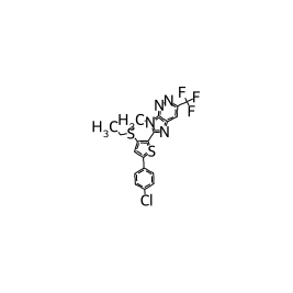 CCSc1cc(-c2ccc(Cl)cc2)sc1-c1nc2cc(C(F)(F)F)nnc2n1C